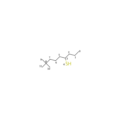 CCCC(S)CCCC(C)(C)C